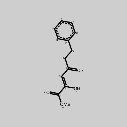 COC(=O)/C(O)=C/C(=O)CCc1ccccc1